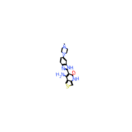 CN1CCN(c2ccc3nc(-c4c(N)c5cscc5[nH]c4=O)[nH]c3c2)CC1